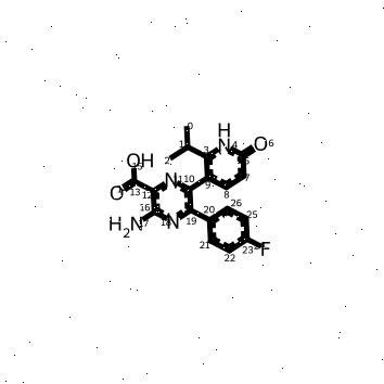 CC(C)c1[nH]c(=O)ccc1-c1nc(C(=O)O)c(N)nc1-c1ccc(F)cc1